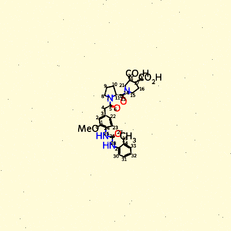 COc1cc(CC(=O)N2CCC[C@H]2C(=O)N2CCC(C(=O)O)C(C(=O)O)C2)ccc1NC(=O)Nc1ccccc1C